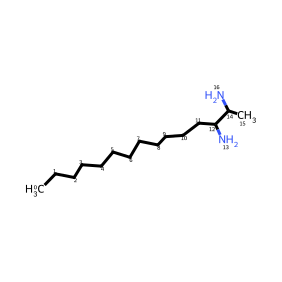 CCCCCCCCCCCCC(N)C(C)N